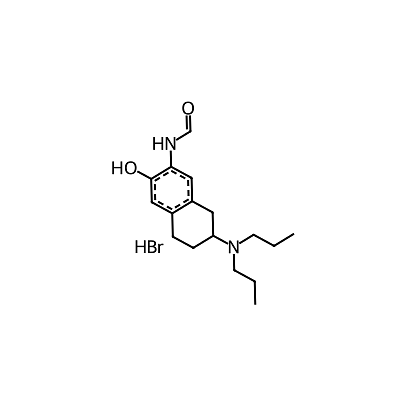 Br.CCCN(CCC)C1CCc2cc(O)c(NC=O)cc2C1